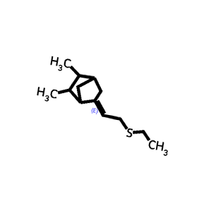 CCSC/C=C1\CC2CC1C(C)C2C